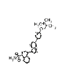 CC(COc1ccc(-c2cnc3c(-c4ccc(S(N)(=O)=O)c5ccccc45)cnn3c2)cn1)N(C)C